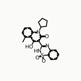 Cc1cccc2c1c(O)c(C1=Nc3ccccc3S(=O)(=O)N1)c(=O)n2C1CCCC1